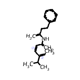 C=C(/C=C\C(=C/C)C(C)C)NC(=C)CCc1ccccc1